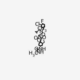 CNC(=O)Nc1ccc2c(c1)CC[C@@]21OC(=O)N(CC(=O)N(Cc2ccc(F)c(Cl)c2)[C@@H](C)C2CC2)C1=O